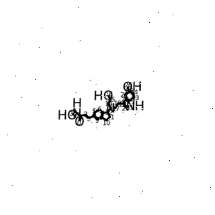 O=C(/C=C/c1ccc2c(c1)CCC2N(CCO)CCc1c[nH]c2ccc(O)cc12)NO